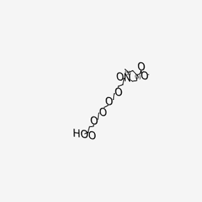 COC(=O)[C@H]1CCN(C(=O)CCOCCOCCOCCOCCC(=O)O)[C@@H](C)C1